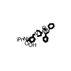 CC(C)NC(=O)c1cc(CN2CCC(N3C(=O)N(C4CCCCC4)CC3c3ccccc3)CC2)ccc1O